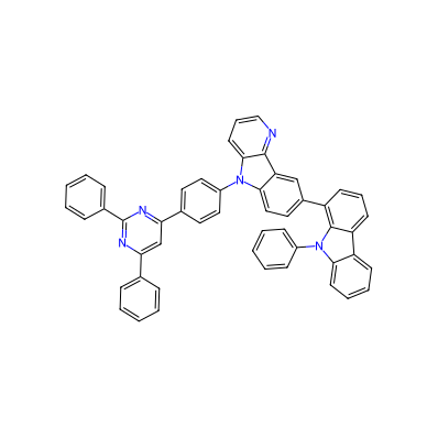 c1ccc(-c2cc(-c3ccc(-n4c5ccc(-c6cccc7c8ccccc8n(-c8ccccc8)c67)cc5c5ncccc54)cc3)nc(-c3ccccc3)n2)cc1